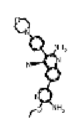 CCOc1ncc(-c2ccc3nc(N)c(-c4ccc(N5CCOCC5)cc4)c(C#N)c3c2)cc1N